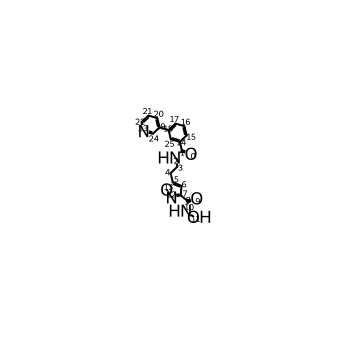 O=C(NCCc1cc(C(=O)NO)no1)c1cccc(-c2cccnc2)c1